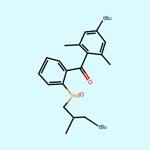 Cc1cc(C(C)(C)C)cc(C)c1C(=O)c1ccccc1[PH](=O)CC(C)CC(C)(C)C